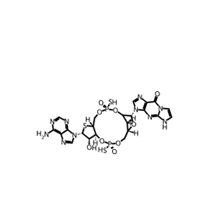 Nc1ncnc2c1ncn2[C@@H]1S[C@@H]2COP(=O)(S)OC3[C@H](n4cnc5c(=O)n6cc[nH]c6nc54)O[C@H](COP(=O)(S)O[C@H]2[C@H]1O)[C@H]3F